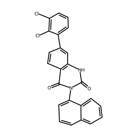 O=c1[nH]c2cc(-c3cccc(Cl)c3Cl)ccc2c(=O)n1-c1cccc2ccccc12